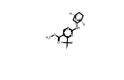 COC(=O)c1cnc(N[C@H]2C[C@H]3CC[C@@H]2O3)nc1C(F)(F)F